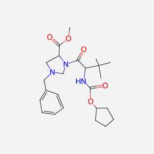 COC(=O)C1CN(Cc2ccccc2)CN1C(=O)C(NC(=O)OC1CCCC1)C(C)(C)C